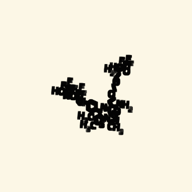 Cc1sc2c(c1C)C(c1ccc(Cl)cc1)=N[C@@H](C(CCOCCOCCN)C(N)=O)c1nnc(C)n1-2.O=C(O)C(F)(F)F.O=C(O)C(F)(F)F.O=C(O)C(F)(F)F